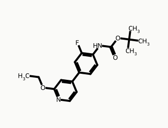 CCOc1cc(-c2ccc(NC(=O)OC(C)(C)C)c(F)c2)ccn1